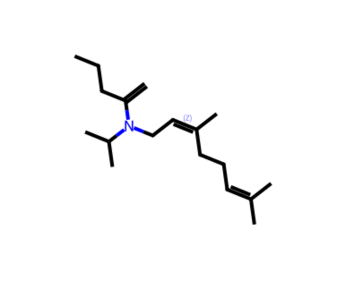 C=C(CCC)N(C/C=C(/C)CCC=C(C)C)C(C)C